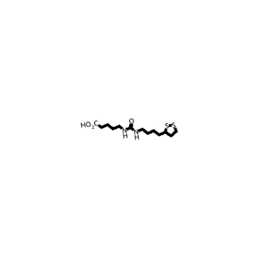 O=C(O)CCCCNC(=O)NCCCCC1CCSS1